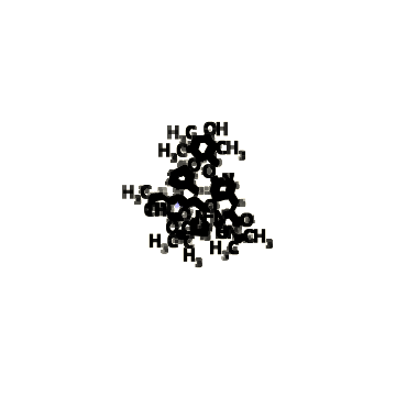 CC1=C(C)C(O)C(C)=C(COc2ccc(C[C@H](NC(=O)[C@@H]3CCCN3C(=O)[C@H](/C=C/[C@H](CC(C)C)NC(=O)OC(C)(C)C)Cc3ccccc3)C(=O)NC(C)C)cn2)C1=O